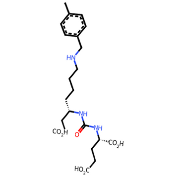 Cc1ccc(CNCCCC[C@@H](CC(=O)O)NC(=O)N[C@@H](CCC(=O)O)C(=O)O)cc1